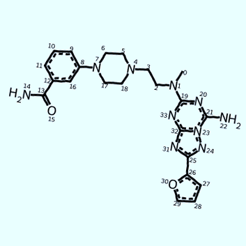 CN(CCN1CCN(c2cccc(C(N)=O)c2)CC1)c1nc(N)n2nc(-c3ccco3)nc2n1